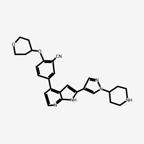 N#Cc1cc(-c2ccnc3[nH]c(-c4cnn(C5CCNCC5)c4)cc23)ccc1OC1CCOCC1